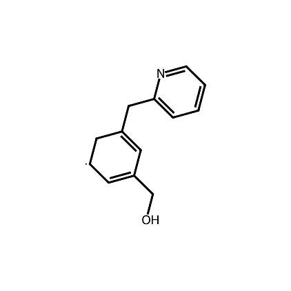 OCC1=C[CH]CC(Cc2ccccn2)=C1